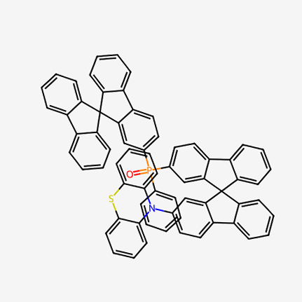 O=P(c1ccccc1)(c1ccc2c(c1)C1(c3ccccc3-c3ccccc31)c1ccccc1-2)c1ccc2c(c1)C1(c3ccccc3-c3ccc(N4c5ccccc5Sc5ccccc54)cc31)c1ccccc1-2